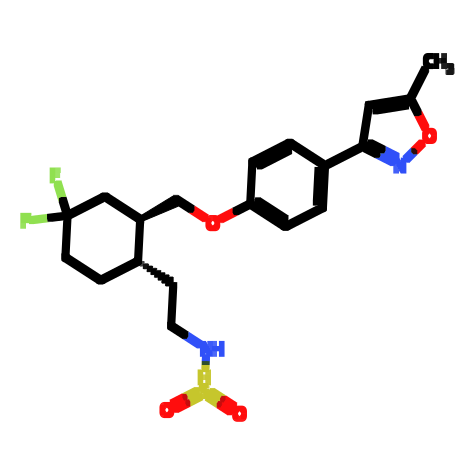 Cc1cc(-c2ccc(OC[C@@H]3CC(F)(F)CC[C@H]3CCN[SH](=O)=O)cc2)no1